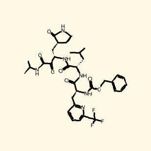 CC(C)C[C@H](NC(=O)[C@H](Cc1cccc(C(F)(F)F)n1)NC(=O)OCc1ccccc1)C(=O)N[C@@H](C[C@@H]1CCNC1=O)C(=O)C(=O)NC(C)C